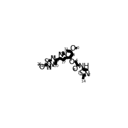 COc1cc(OCC(=O)Nc2cnc(C)s2)c2cc(-c3cn4nc(OC)sc4n3)nn2c1